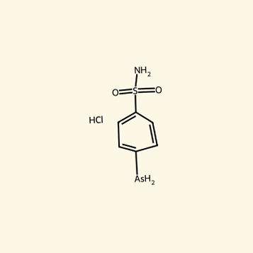 Cl.NS(=O)(=O)c1ccc([AsH2])cc1